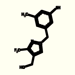 Cc1cc(S)cc(Cn2cc(CO)c(C(F)(F)F)n2)c1